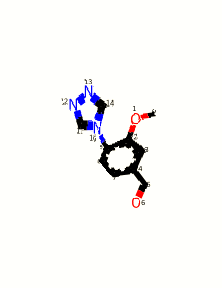 COc1cc(C=O)ccc1-n1cnnc1